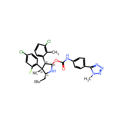 Cc1c(Cl)cccc1[C@H]1[C@@H](OC(=O)Nc2ccc(-c3nnnn3C)cc2)N[C@@H](CC(C)(C)C)[C@]1(C#N)c1ccc(Cl)cc1F